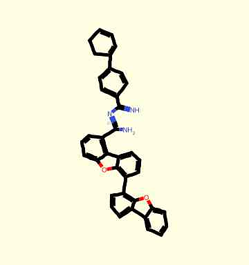 N=C(/N=C(\N)c1cccc2oc3c(-c4cccc5c4oc4ccccc45)cccc3c12)c1ccc(C2=CC=CCC2)cc1